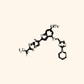 COc1cc(OCc2csc(N3CCCCC3)n2)c2cc(-c3cn4nc([C@H](C)F)sc4n3)oc2c1